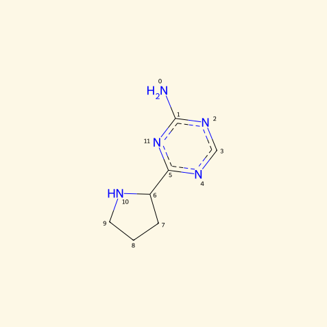 Nc1ncnc(C2CCCN2)n1